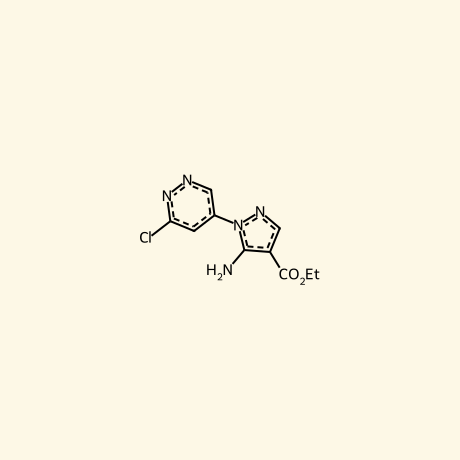 CCOC(=O)c1cnn(-c2cnnc(Cl)c2)c1N